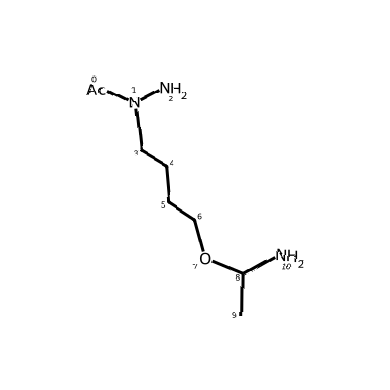 CC(=O)N(N)CCCCOC(C)N